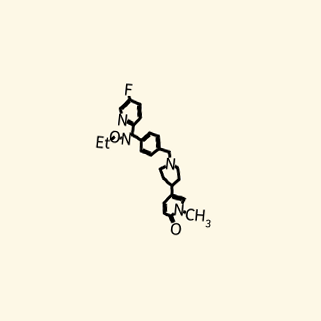 CCON=C(c1ccc(CN2CCC(c3ccc(=O)n(C)c3)CC2)cc1)c1ccc(F)cn1